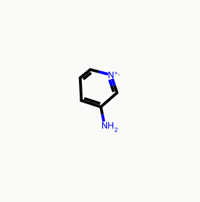 NC1=CC=C[N+]=C1